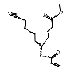 C=CC(=O)OC(CCCCC#N)CCCC(=O)OC